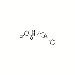 O=C(NCC1CC12CCN(CCc1ccccc1)CC2)c1cccc(Cl)c1